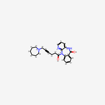 O=C1Nc2cccnc2N(C(=O)CCC#CCN2CCCCCC2)c2ccccc21